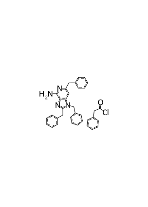 Nc1nc(Cc2ccccc2)cc2c1nc(Cc1ccccc1)n2Cc1ccccc1.O=C(Cl)Cc1ccccc1